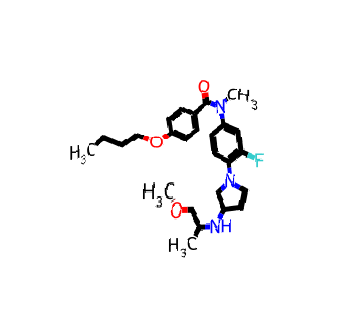 CCCCOc1ccc(C(=O)N(C)c2ccc(N3CCC(NC(C)COC)C3)c(F)c2)cc1